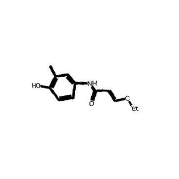 CCO/C=C/C(=O)Nc1ccc(O)c(C)c1